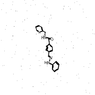 O=C(NCc1ccccn1)c1ccc(/C=N/Nc2ccccc2)cc1